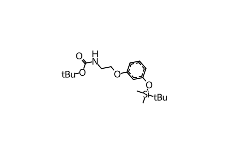 CC(C)(C)OC(=O)NCCOc1cccc(O[Si](C)(C)C(C)(C)C)c1